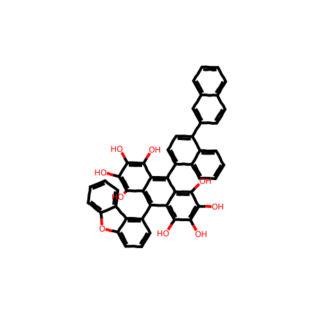 Oc1c(O)c(O)c2c(-c3cccc4oc5ccccc5c34)c3c(O)c(O)c(O)c(O)c3c(-c3ccc(-c4ccc5ccccc5c4)c4ccccc34)c2c1O